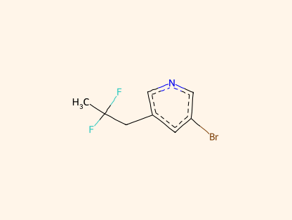 CC(F)(F)Cc1cncc(Br)c1